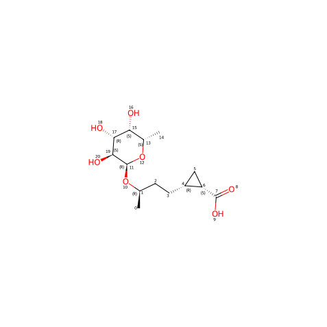 C[C@H](CC[C@@H]1C[C@@H]1C(=O)O)O[C@@H]1O[C@@H](C)[C@@H](O)[C@@H](O)[C@@H]1O